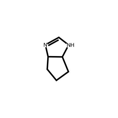 C1=NC2CCCC2N1